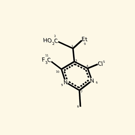 CCC(C(=O)O)c1c(Cl)nc(C)nc1C(F)(F)F